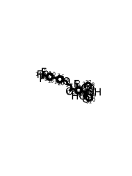 O=C(CCOc1ccc(-c2ccc(C(F)(F)F)cc2)cc1)c1ccc(C([P]2(O)OCCCO2)[P]2(O)OCCCO2)cc1F